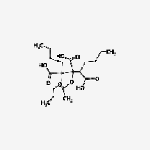 CCCCC(C(=O)O)C(OC(C)=O)(C(=O)O)C(CCCC)(CCCC)C(=O)O